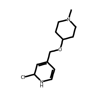 CN1CCC(OCC2=CC(Cl)NC=C2)CC1